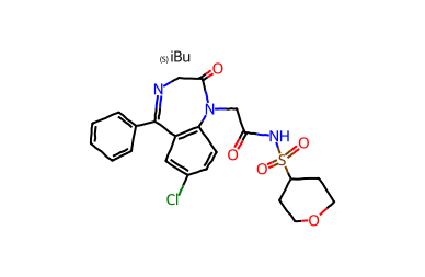 CC[C@H](C)C1N=C(c2ccccc2)c2cc(Cl)ccc2N(CC(=O)NS(=O)(=O)C2CCOCC2)C1=O